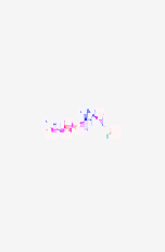 CNC(=O)NC[C@@H]1CO[C@@H]([C@@H]2CC(c3cc(C(=O)NCc4ccc(F)c(OC)c4)nc(C)n3)=NO2)CO1